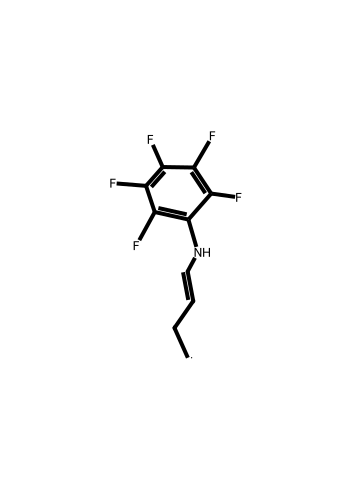 [CH2]C/C=C/Nc1c(F)c(F)c(F)c(F)c1F